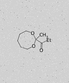 CCC(=O)C1(C)OCCCCCO1